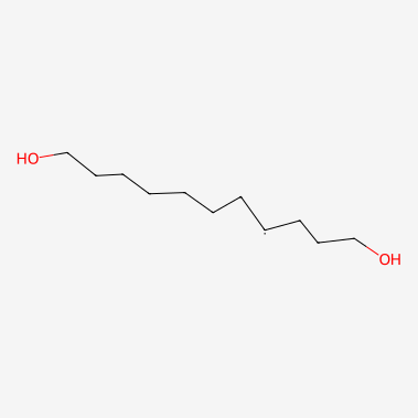 OCCC[CH]CCCCCCCO